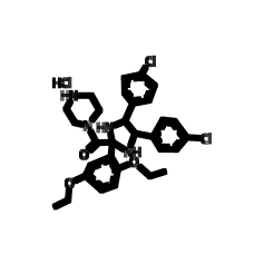 CCOc1ccc(OCC)c(C2(C(=O)N3CCNCC3)NC(c3ccc(Cl)cc3)C(c3ccc(Cl)cc3)N2)c1.Cl